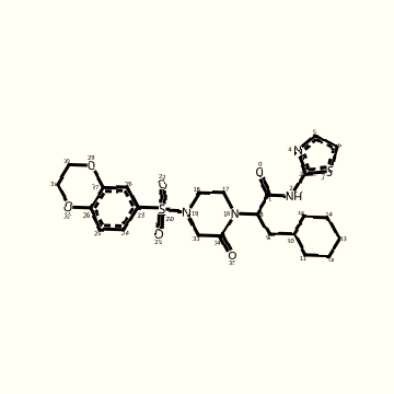 O=C(Nc1nccs1)C(CC1CCCCC1)N1CCN(S(=O)(=O)c2ccc3c(c2)OCCO3)CC1=O